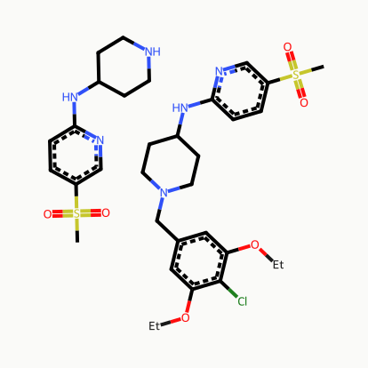 CCOc1cc(CN2CCC(Nc3ccc(S(C)(=O)=O)cn3)CC2)cc(OCC)c1Cl.CS(=O)(=O)c1ccc(NC2CCNCC2)nc1